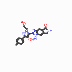 COCCn1nc(-c2ccc(C)cc2)c(O)c1-c1nc2cc3c(cc2[nH]1)CNC3=O